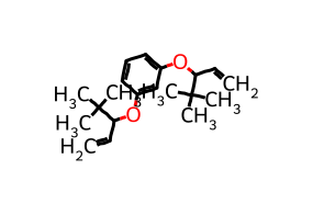 C=CC(Oc1cccc(OC(C=C)C(C)(C)C)c1)C(C)(C)C